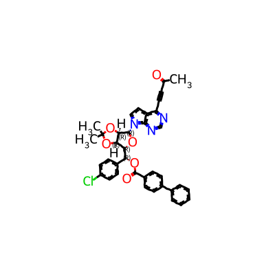 CC(=O)C#Cc1ncnc2c1ccn2[C@@H]1O[C@H]([C@H](OC(=O)c2ccc(-c3ccccc3)cc2)c2ccc(Cl)cc2)[C@H]2OC(C)(C)O[C@H]21